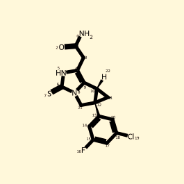 NC(=O)Cc1[nH]c(=S)n2c1[C@@H]1C[C@]1(c1cc(F)cc(Cl)c1)C2